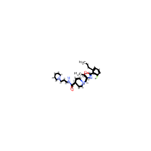 CCCc1cccc(F)c1-c1nc(CN2CCC(C(=O)NCCCN3CCCCC3)CC2)c(C)o1